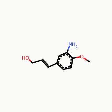 COc1ccc(/C=C/CO)cc1N